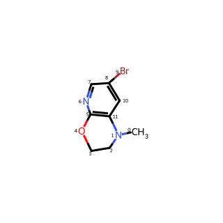 CN1CCOc2ncc(Br)cc21